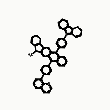 CC1C2=C(CCC=C2)c2cc3c(-c4ccc(-n5c6c(c7ccccc75)CCC=C6)cc4)c4ccccc4c(-c4ccc(-c5cccc6cccnc56)cc4)c3cc21